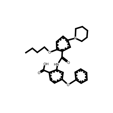 CCCCOc1ccc(N2CCCCC2)cc1C(=O)Nc1cc(Oc2ccccc2)ccc1C(=O)O